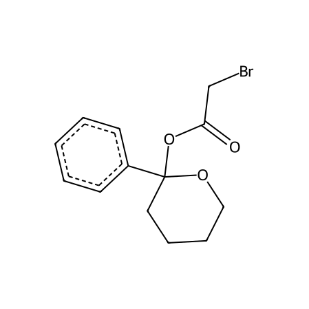 O=C(CBr)OC1(c2ccccc2)CCCCO1